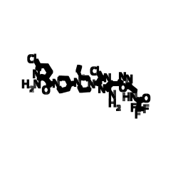 CC[C@H]1CN(c2nc(N)c(-c3nnc(CNC(=O)C(F)(F)F)o3)nc2Cl)CCN1C1CCN(C(=O)c2ccc(Cl)nc2N)CC1